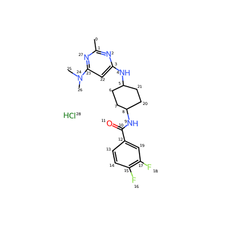 Cc1nc(NC2CCC(NC(=O)c3ccc(F)c(F)c3)CC2)cc(N(C)C)n1.Cl